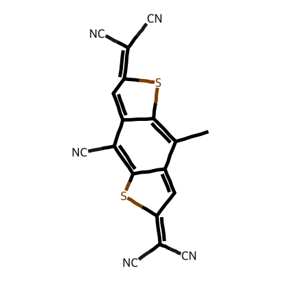 Cc1c2cc(=C(C#N)C#N)sc2c(C#N)c2cc(=C(C#N)C#N)sc12